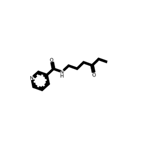 CCC(=O)CCCNC(=O)c1cccnc1